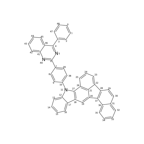 c1ccc(-c2nc(-c3ccc(-n4c5ccccc5c5cc6c7c(cccc7c54)-c4ccc5ccccc5c4-6)cc3)nc3ccccc23)cc1